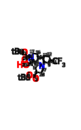 CC(C)(C)OC(=O)C1CCN(c2cc(C(F)(F)F)ccc2C2=CCN(C(=O)OC(C)(C)C)[C@H](CO)C2)CC1